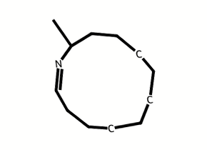 CC1CCCCCCCCC/C=N\1